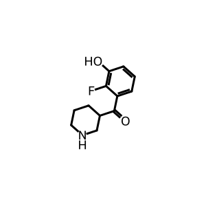 O=C(c1cccc(O)c1F)C1CCCNC1